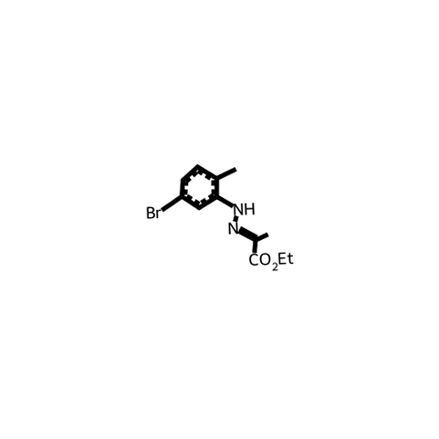 CCOC(=O)C(C)=NNc1cc(Br)ccc1C